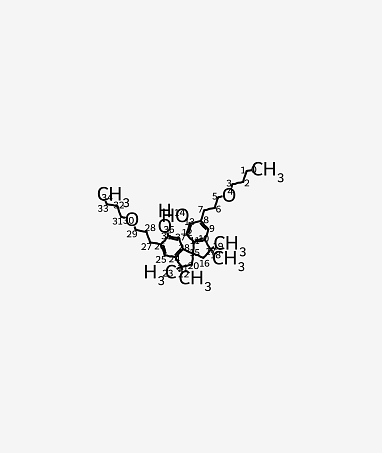 CCCCOCCCc1cc2c(cc1O)C1(CC2(C)C)CC(C)(C)c2cc(CCCOCCCC)c(O)cc21